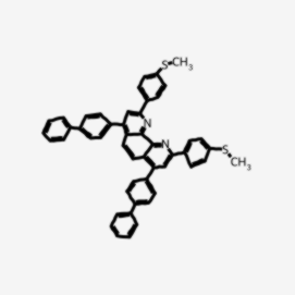 CSc1ccc(-c2cc(-c3ccc(-c4ccccc4)cc3)c3ccc4c(-c5ccc(-c6ccccc6)cc5)cc(-c5ccc(SC)cc5)nc4c3n2)cc1